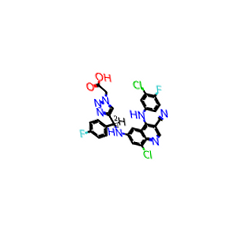 [2H][C@](Nc1cc(Cl)c2ncc(C#N)c(Nc3ccc(F)c(Cl)c3)c2c1)(c1ccc(F)cc1)c1cn(CC(=O)O)nn1